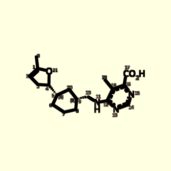 CC1=CCC([C@H]2CCC[C@@H](CNc3ncnc(C(=O)O)c3C)C2)O1